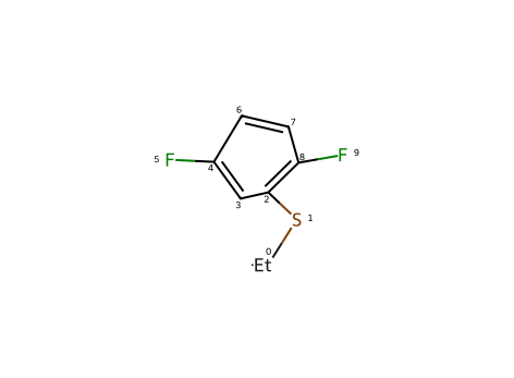 C[CH]Sc1cc(F)ccc1F